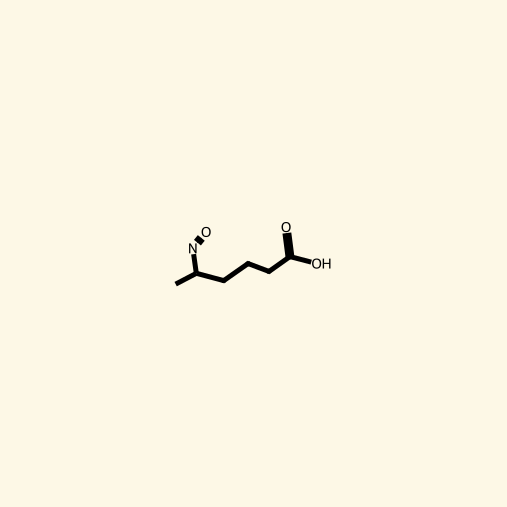 CC(CCCC(=O)O)N=O